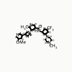 COc1cncc(-c2cn(-c3cc(C(=O)Nc4cc(N5CCN(C)CC5)cc(C(F)(F)F)c4)cnc3C)nn2)c1